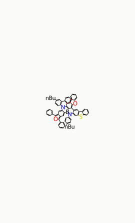 CCCCc1ccc(N2B3c4cc5c(-c6ccccc6)oc(-c6ccccc6)c5cc4N(c4ccc(CCCC)cc4-c4ccccc4)c4cc5c(oc6ccccc65)c(c43)-c3cc4c(cc32)sc2ccccc24)cc1